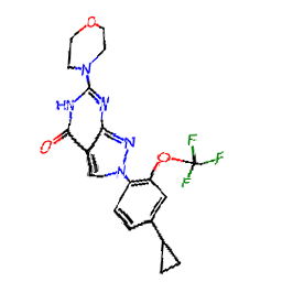 O=c1[nH]c(N2CCOCC2)nc2nn(-c3ccc(C4CC4)cc3OC(F)(F)F)cc12